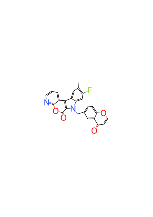 Cc1cc2c3c4cccnc4oc(=O)c3n(Cc3ccc4occc(=O)c4c3)c2cc1F